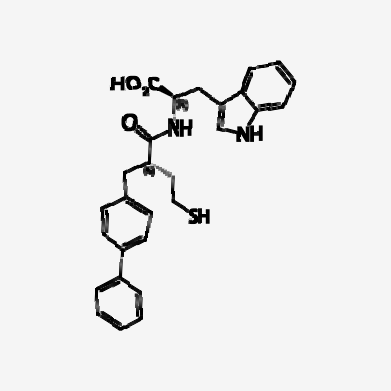 O=C(N[C@H](Cc1c[nH]c2ccccc12)C(=O)O)[C@H](CCS)Cc1ccc(-c2ccccc2)cc1